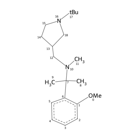 COc1ccccc1C(C)(C)N(C)CC1CCN(C(C)(C)C)C1